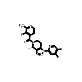 Cc1cc(-n2nnc3c2CCN(C(=O)c2ccnc(C(F)(F)F)c2F)[C@H]3C)ncc1F